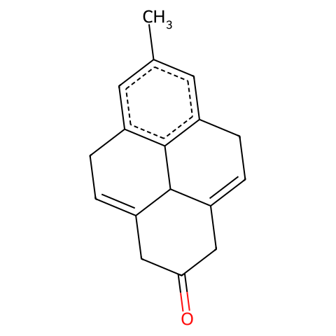 Cc1cc2c3c(c1)CC=C1CC(=O)CC(=CC2)C13